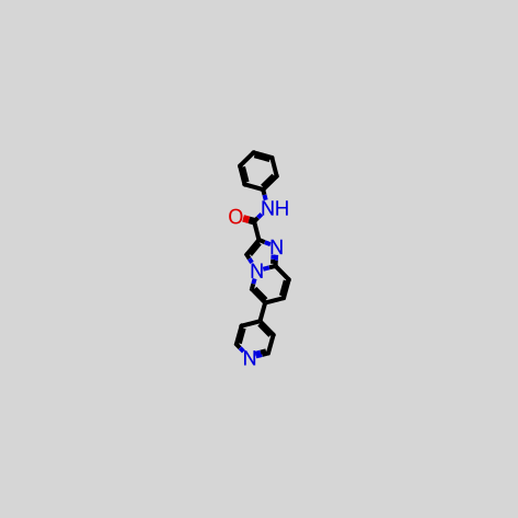 O=C(Nc1ccccc1)c1cn2cc(-c3ccncc3)ccc2n1